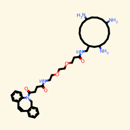 NC1CCCCCC(CNC(=O)CCOCCOCCNC(=O)CCC(=O)N2Cc3ccccc3C#Cc3ccccc32)CC(N)CCCCC(N)CCC1